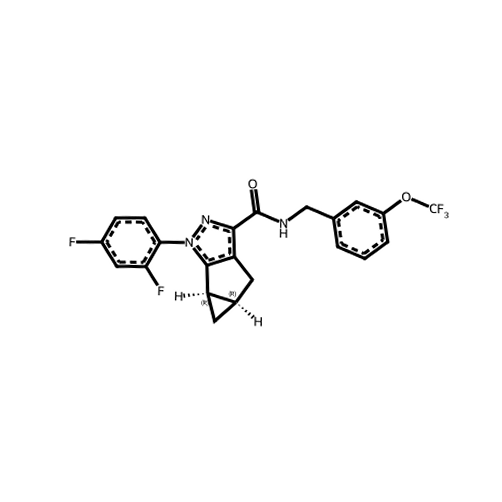 O=C(NCc1cccc(OC(F)(F)F)c1)c1nn(-c2ccc(F)cc2F)c2c1C[C@H]1C[C@@H]21